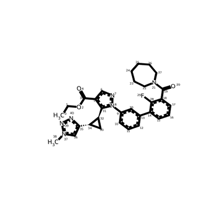 CCOC(=O)c1cnn(-c2cccc(-c3cccc(C(=O)N4CCCCCC4)c3F)c2)c1[C@H]1C[C@@H]1c1cn(C)nn1